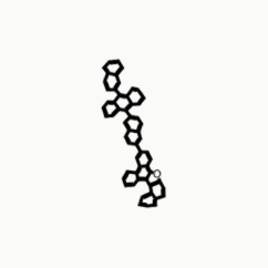 c1ccc2cc(-c3c4ccccc4c(-c4ccc5cc(-c6ccc7c(c6)c6ccccc6c6c7oc7ccc8ccccc8c76)ccc5c4)c4ccccc34)ccc2c1